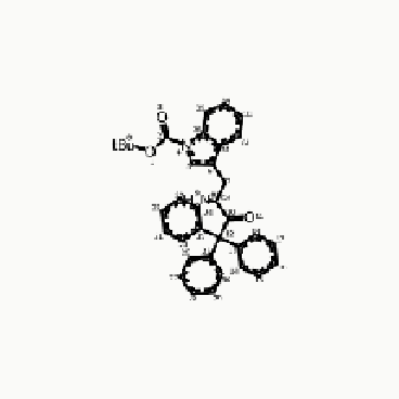 CC(C)(C)OC(=O)n1cc(C[C@H](N)C(=O)C(c2ccccc2)(c2ccccc2)c2ccccc2)c2ccccc21